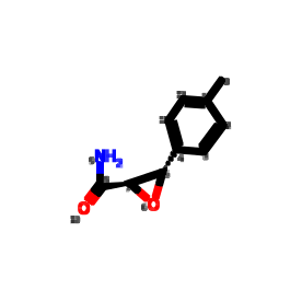 Cc1ccc([C@@H]2O[C@H]2C(N)=O)cc1